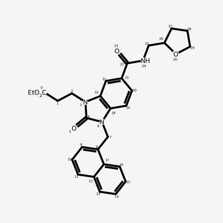 CCOC(=O)CCn1c(=O)n(Cc2cccc3ccccc23)c2ccc(C(=O)NCC3CCCO3)cc21